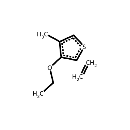 C=C.CCOc1cscc1C